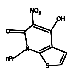 CCCn1c(=O)c([N+](=O)[O-])c(O)c2ccsc21